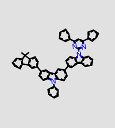 CC1(C)c2ccccc2-c2cc(-c3ccc4c(c3)c3cc(-c5ccc6c(c5)c5ccccc5n6-c5nc(-c6ccccc6)cc(-c6ccccc6)n5)ccc3n4-c3ccccc3)ccc21